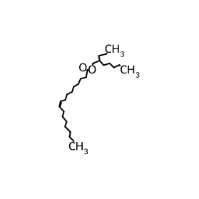 CCCCCCCC/C=C\CCCCCCCC(=O)OCC(CCC)CCCCC